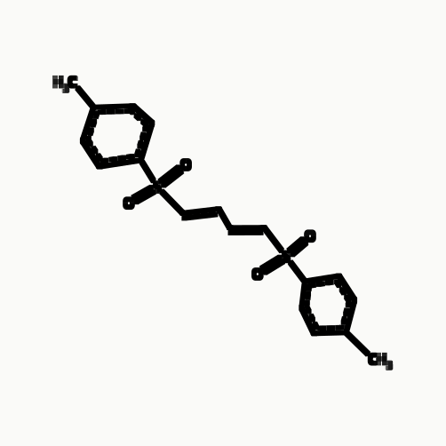 Cc1ccc(S(=O)(=O)C=CC=CS(=O)(=O)c2ccc(C)cc2)cc1